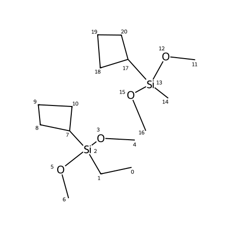 CC[Si](OC)(OC)C1CCC1.CO[Si](C)(OC)C1CCC1